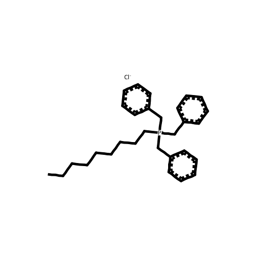 CCCCCCCCC[P+](Cc1ccccc1)(Cc1ccccc1)Cc1ccccc1.[Cl-]